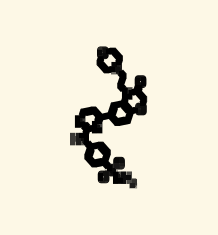 NS(=O)(=O)c1ccc(Nc2nccc(-c3ccc4c(c3)N(CCN3CCOCC3)C(=O)CO4)n2)cc1